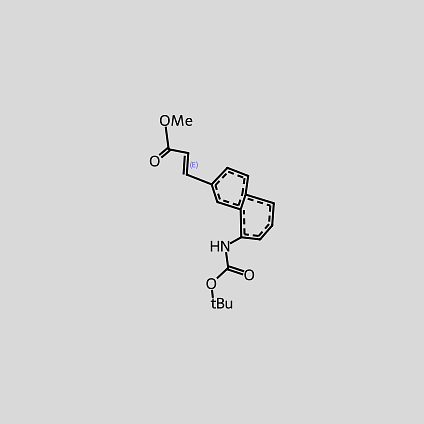 COC(=O)/C=C/c1ccc2cccc(NC(=O)OC(C)(C)C)c2c1